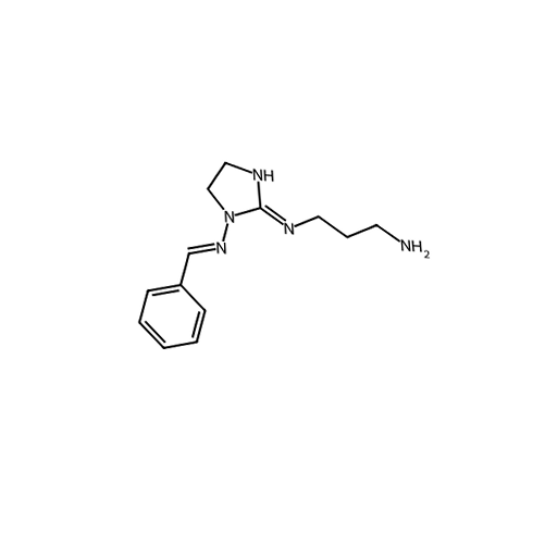 NCCCN=C1NCCN1N=Cc1ccccc1